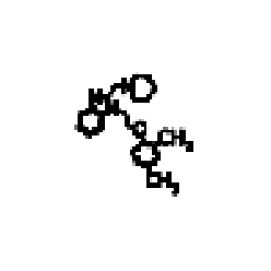 Cc1ccc(OCCn2c(CN3CCCCC3)nc3ccccc32)c(C)c1